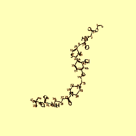 CCOC(=O)CNC(=O)Cc1csc(-c2ccc(OCCN3CCN(C(=O)CCCNC(=O)OC(C)(C)C)CC3)cc2Cl)n1